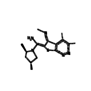 C/N=C1\C(=C(/N)N2C[C@@H](C)C[C@H]2C)Sc2nnc(C)c(C)c21